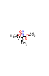 C=CCOC(=O)NC(C(=O)OCC(Cl)(Cl)Cl)C(CC=C)C(=O)O